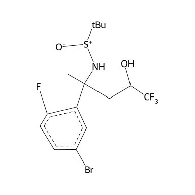 CC(CC(O)C(F)(F)F)(N[S+]([O-])C(C)(C)C)c1cc(Br)ccc1F